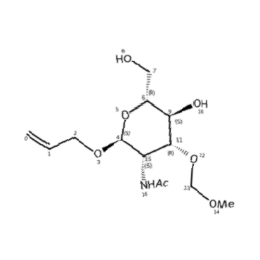 C=CCO[C@H]1O[C@H](CO)[C@@H](O)[C@H](OCOC)[C@@H]1NC(C)=O